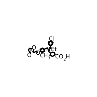 CCC(c1ccc(Cl)cc1)N(Cc1ccc(OCCN2C(=O)CCC2=O)c(C)c1)CC1CCC(C(=O)O)CC1